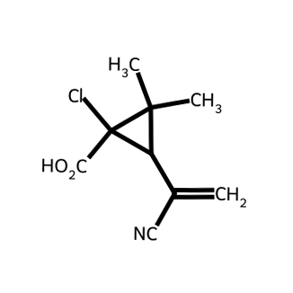 C=C(C#N)C1C(C)(C)C1(Cl)C(=O)O